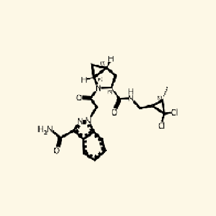 C[C@H]1C(CNC(=O)[C@@H]2C[C@H]3C[C@H]3N2C(=O)Cn2nc(C(N)=O)c3ccccc32)C1(Cl)Cl